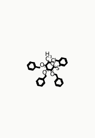 C[C@H]1O[C@@H](Sc2ccccc2Cl)[C@H](OCc2ccccc2)[C@@H](OCc2ccccc2)[C@H]1OCc1ccccc1